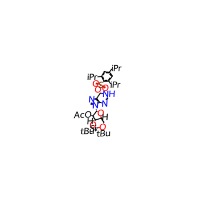 CC(=O)O[C@@H]1[C@@H]2O[Si](C(C)(C)C)(C(C)(C)C)OC[C@H]2O[C@H]1n1cnc2c1N=CNC2OS(=O)(=O)c1c(C(C)C)cc(C(C)C)cc1C(C)C